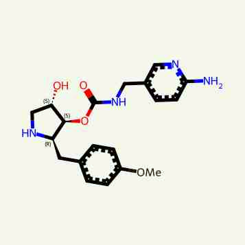 COc1ccc(C[C@H]2NC[C@H](O)[C@H]2OC(=O)NCc2ccc(N)nc2)cc1